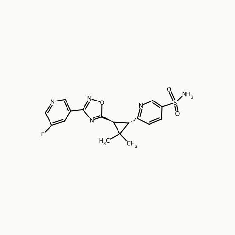 CC1(C)[C@@H](c2ccc(S(N)(=O)=O)cn2)[C@@H]1c1nc(-c2cncc(F)c2)no1